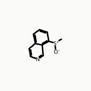 C[S+]([O-])c1cccc2ccncc12